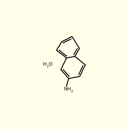 Nc1ccc2ccccc2c1.O